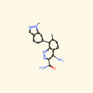 Cc1ccc2c(N)c(C(N)=O)nnc2c1-c1ccc2cnn(C)c2c1